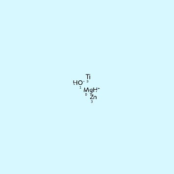 [MgH+].[OH-].[Ti].[Zn]